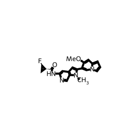 COc1cc2cccn2cc1-c1cc2cc(NC(=O)[C@@H]3C[C@@H]3F)ncc2n1C